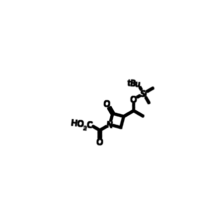 CC(O[Si](C)(C)C(C)(C)C)C1CN(C(=O)C(=O)O)C1=O